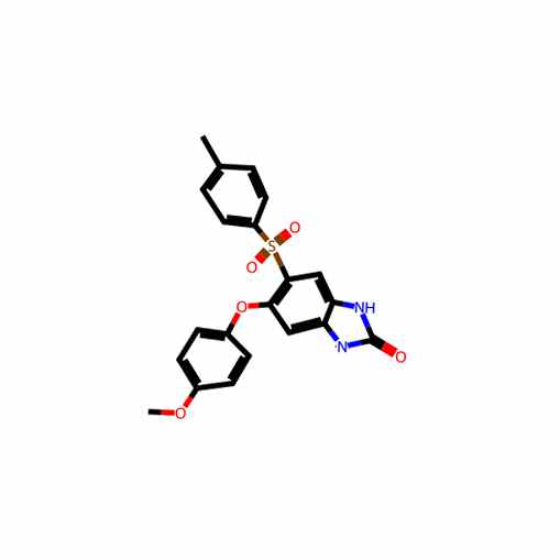 COc1ccc(Oc2cc3c(cc2S(=O)(=O)c2ccc(C)cc2)NC(=O)[N]3)cc1